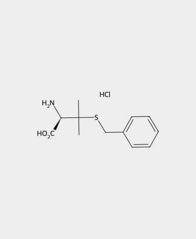 CC(C)(SCc1ccccc1)[C@H](N)C(=O)O.Cl